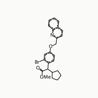 COC(=O)C(c1ccc(OCc2ccc3ccccc3n2)cc1Br)C1CCCC1